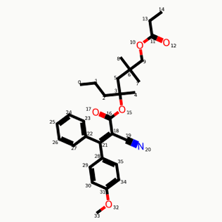 CCCC(C)(CC(C)(C)COC(=O)CC)OC(=O)C(C#N)=C(c1ccccc1)c1ccc(OC)cc1